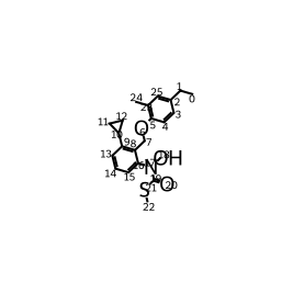 CCc1ccc(OCc2c(C3CC3)cccc2N(O)C(=O)SC)c(C)c1